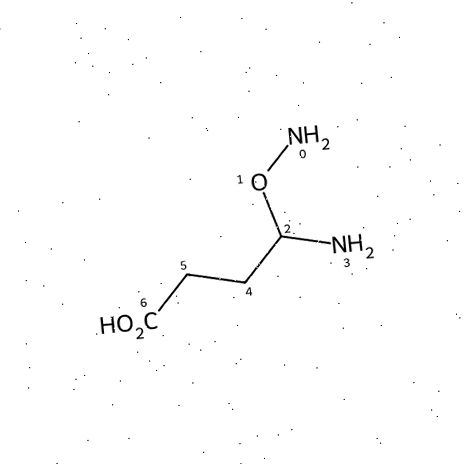 NOC(N)CCC(=O)O